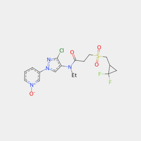 CCN(C(=O)CCS(=O)(=O)CC1CC1(F)F)c1cn(-c2ccc[n+]([O-])c2)nc1Cl